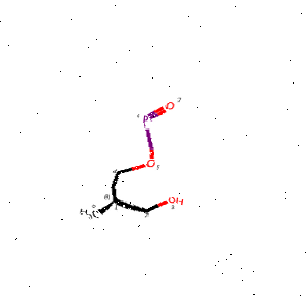 C[C@H](CO)COP=O